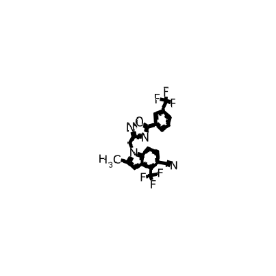 Cc1cc2c(C(F)(F)F)c(C#N)ccc2n1Cc1noc(-c2cccc(C(F)(F)F)c2)n1